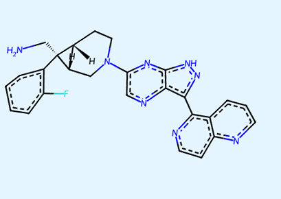 NC[C@]1(c2ccccc2F)[C@@H]2CCN(c3cnc4c(-c5nccc6ncccc56)n[nH]c4n3)C[C@@H]21